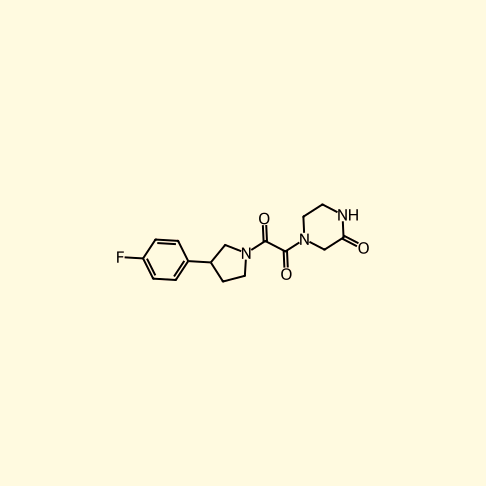 O=C1CN(C(=O)C(=O)N2CCC(c3ccc(F)cc3)C2)CCN1